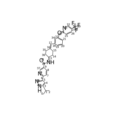 CC(C)c1cc(-c2ccc(C(=O)NC3CCC(=Cc4cccc(Oc5ccc(C(F)(F)F)cn5)c4)CC3)cn2)n[nH]1